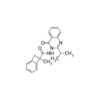 CC(C)c1nc2ccccc2c(=O)n1NC(=O)C1(C)Cc2ccccc21